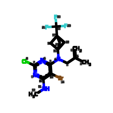 C=C(C)CN(c1nc(Cl)nc(NC)c1Br)C12CC(C(F)(F)F)(C1)C2